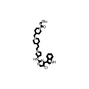 CC(C)(C)OC(=O)N1CCC(CN2CCC(CCN3CCC(Nc4ncc(Cl)c(-c5c[nH]c6ccccc56)n4)C3)CC2)CC1